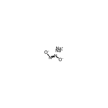 [Na+].[Na+].[O-]N=N[O-]